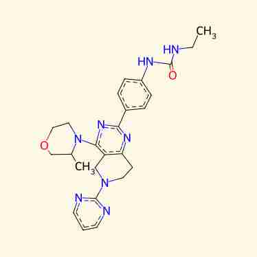 CCNC(=O)Nc1ccc(-c2nc3c(c(N4CCOCC4C)n2)CN(c2ncccn2)CC3)cc1